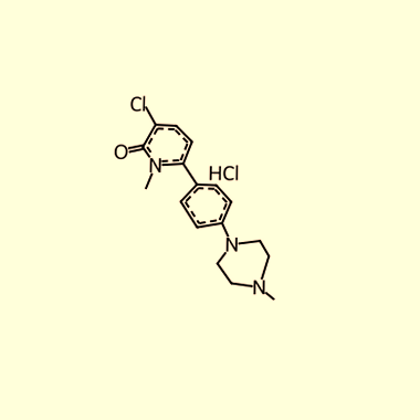 CN1CCN(c2ccc(-c3ccc(Cl)c(=O)n3C)cc2)CC1.Cl